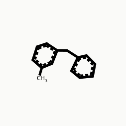 Cc1[c]ccc(Cc2ccccc2)c1